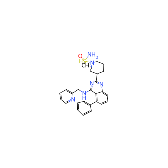 C[SH](N)(=O)N1CCCC(c2nc(NCc3ccccn3)c3c(-c4ccccc4)cccc3n2)C1